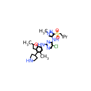 Cc1cc(Nc2ncc(Cl)c(Nc3cn(C)nc3S(=O)(=O)CC(C)C)n2)c2c(c1C1CCNCC1)CC(C)O2